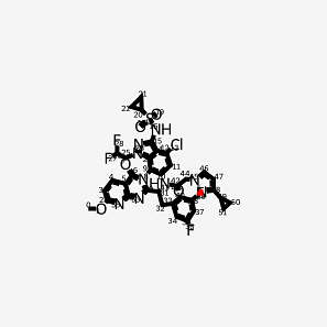 COc1ccc2c(=O)n(-c3ccc(Cl)c4c(NS(=O)(=O)C5CC5)nn(CC(F)F)c34)c(C(Cc3cc(F)cc(F)c3)NC(=O)Cn3ccc(C4CC4)n3)nc2n1